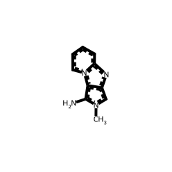 Cn1cc2nc3ccccn3c2c1N